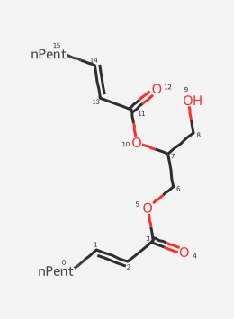 CCCCCC=CC(=O)OCC(CO)OC(=O)C=CCCCCC